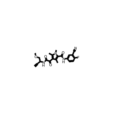 C#CC(COC)NC(=O)C(=O)c1c(C)c(C(=O)Nc2ccc(F)c(C#N)c2)n(C)c1C